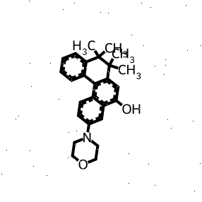 CC1(C)c2ccccc2-c2c(cc(O)c3cc(N4CCOCC4)ccc23)C1(C)C